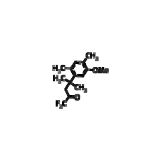 COc1cc(C(C)(C)CC(=O)C(F)(F)F)c(C)cc1C